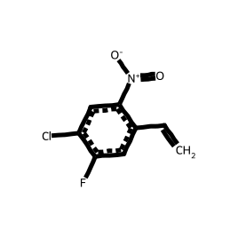 C=Cc1cc(F)c(Cl)cc1[N+](=O)[O-]